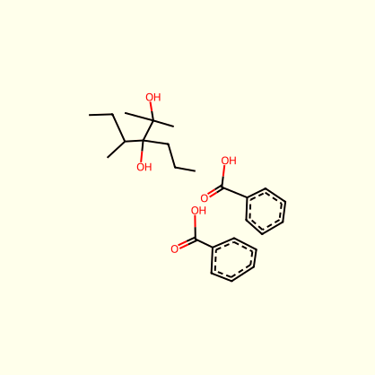 CCCC(O)(C(C)CC)C(C)(C)O.O=C(O)c1ccccc1.O=C(O)c1ccccc1